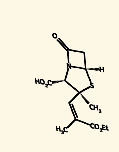 CCOC(=O)/C(C)=C\[C@]1(C)S[C@@H]2CC(=O)N2[C@H]1C(=O)O